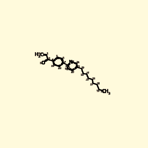 C=CC(=O)c1ccc(-c2ncc(CCCCCCCCC)cn2)cc1